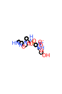 O=C(NS(=O)(=O)c1ccc(NC[C@@H]2CC[C@@H](O)CO2)c([N+](=O)[O-])c1)c1ccccc1N1CCCOc2nc3[nH]ccc3cc21